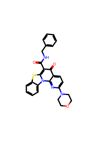 O=C(NCc1ccccc1)c1c(=O)c2ccc(N3CCOCC3)nc2n2c1sc1ccccc12